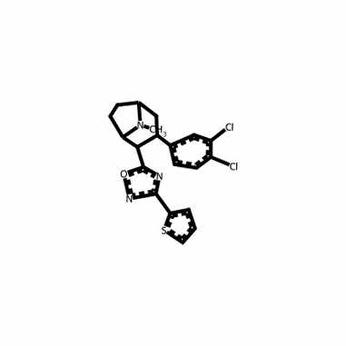 CN1C2CCC1C(c1nc(-c3cccs3)no1)C(c1ccc(Cl)c(Cl)c1)C2